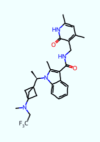 Cc1cc(C)c(CNC(=O)c2c(C)n([C@H](C)C34CC(N(C)CC(F)(F)F)(C3)C4)c3ccccc23)c(=O)[nH]1